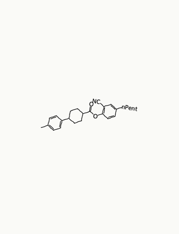 CCCCCc1ccc(OC(=O)C2CCC(c3ccc(C)cc3)CC2)c(C#N)c1